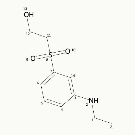 CCNc1cccc(S(=O)(=O)CCO)c1